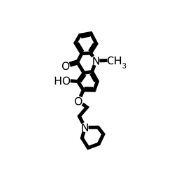 Cn1c2ccccc2c(=O)c2c(O)c(OCCN3CCCCC3)ccc21